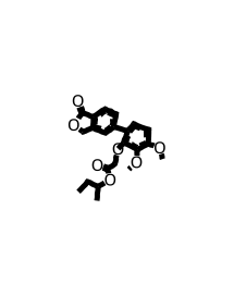 CCC(C)OC(=O)COc1c(-c2ccc3c(c2)COC3=O)ccc(OC)c1OC